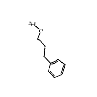 [2H]OCCCc1ccccc1